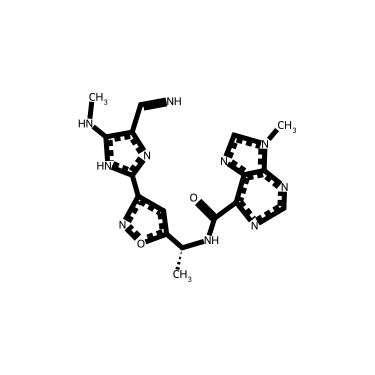 CNc1[nH]c(-c2cc([C@@H](C)NC(=O)c3ncnc4c3ncn4C)on2)nc1C=N